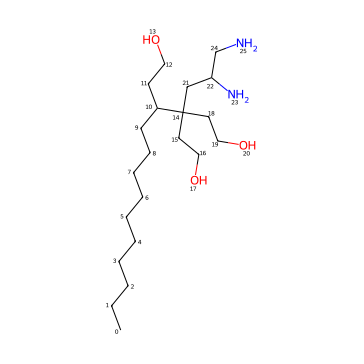 CCCCCCCCCCC(CCO)C(CCO)(CCO)CC(N)CN